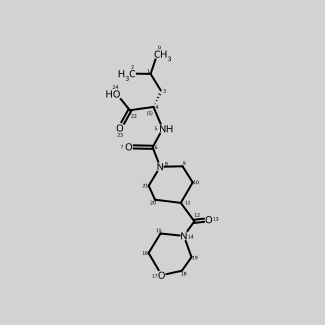 CC(C)C[C@H](NC(=O)N1CCC(C(=O)N2CCOCC2)CC1)C(=O)O